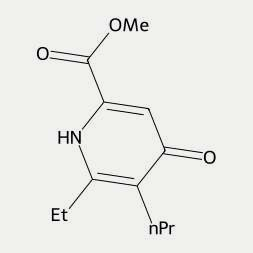 CCCc1c(CC)[nH]c(C(=O)OC)cc1=O